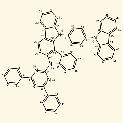 c1ccc(-c2cc(-c3ccccc3)nc(-n3c4ccccc4c4c3ccc3c5ccccc5n(-c5ccc(-n6c7ccccc7c7ccccc76)cc5)c34)n2)cc1